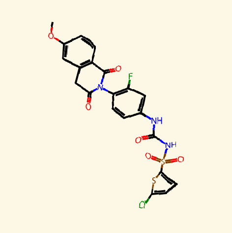 COc1ccc2c(c1)CC(=O)N(c1ccc(NC(=O)NS(=O)(=O)c3ccc(Cl)s3)cc1F)C2=O